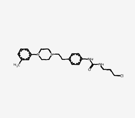 Cc1cccc(N2CCN(CCc3ccc(NC(=O)NCCCCl)cc3)CC2)c1